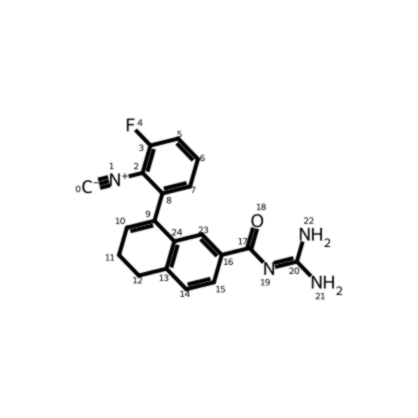 [C-]#[N+]c1c(F)cccc1C1=CCCc2ccc(C(=O)N=C(N)N)cc21